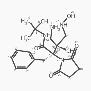 CC(C)(C)NC(=O)[C@](Cc1ccccc1)(N1C(=O)CCC1=O)[C@](C)(CN)CNO